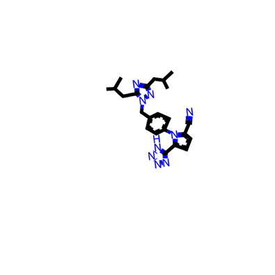 CC(C)Cc1nc(CC(C)C)n(Cc2ccc(-n3c(C#N)ccc3-c3nnn[nH]3)cc2)n1